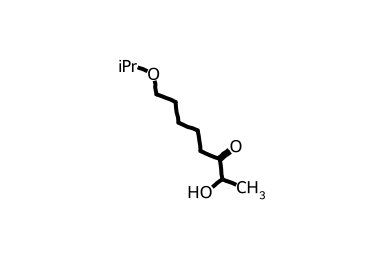 CC(C)OCCCCCC(=O)C(C)O